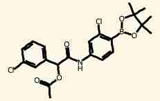 CC(=O)OC(C(=O)Nc1ccc(B2OC(C)(C)C(C)(C)O2)c(Cl)c1)c1cccc(Cl)c1